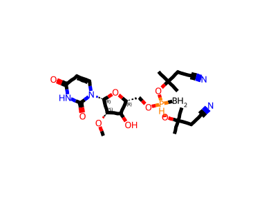 B[PH](OC[C@H]1O[C@@H](n2ccc(=O)[nH]c2=O)[C@@H](OC)C1O)(OC(C)(C)CC#N)OC(C)(C)CC#N